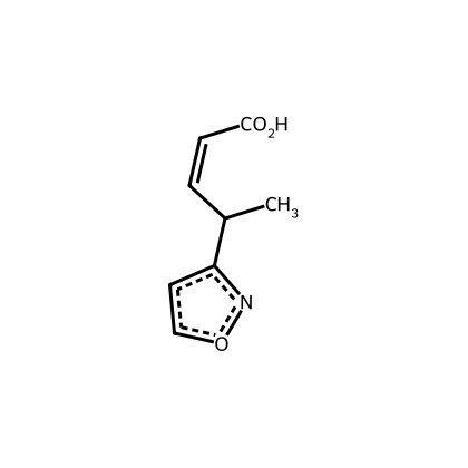 CC(/C=C\C(=O)O)c1ccon1